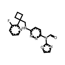 O=CN(c1ccc(NCC2(c3ncccc3F)CCC2)nn1)c1ncco1